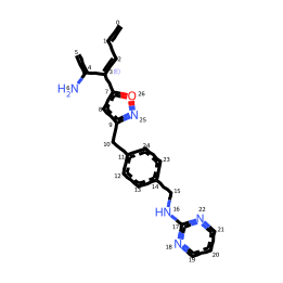 C=C/C=C(\C(=C)N)c1cc(Cc2ccc(CNc3ncccn3)cc2)no1